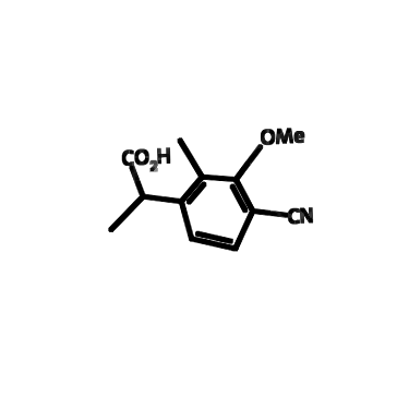 COc1c(C#N)ccc(C(C)C(=O)O)c1C